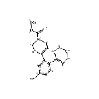 CC(C)(C)OC(=O)N1CC=C(c2cc(F)ccc2C2=CCOCC2)CC1